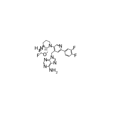 Nc1ncnc2c1ncn2Cc1cc(-c2ccc(F)c(F)c2)ncc1N1CCC[C@@H](N)[C@H]1COC(F)F